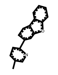 Cc1ccc(-c2ccc3c(c2)oc2ccccc23)nc1